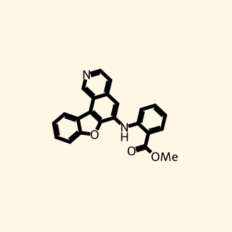 COC(=O)c1ccccc1Nc1cc2ccncc2c2c1oc1ccccc12